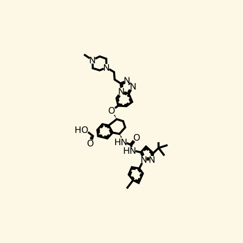 Cc1ccc(-n2nc(C(C)(C)C)cc2NC(=O)N[C@H]2CC[C@@H](Oc3ccc4nnc(CCN5CCN(C)CC5)n4c3)c3ccccc32)cc1.O=CO